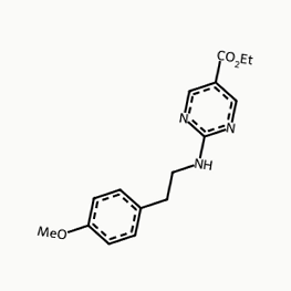 CCOC(=O)c1cnc(NCCc2ccc(OC)cc2)nc1